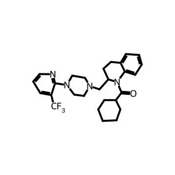 O=C(C1CCCCC1)N1c2ccccc2CCC1CN1CCN(c2ncccc2C(F)(F)F)CC1